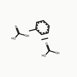 CC.Cc1ccccc1.O=C(O)O.O=C(O)O